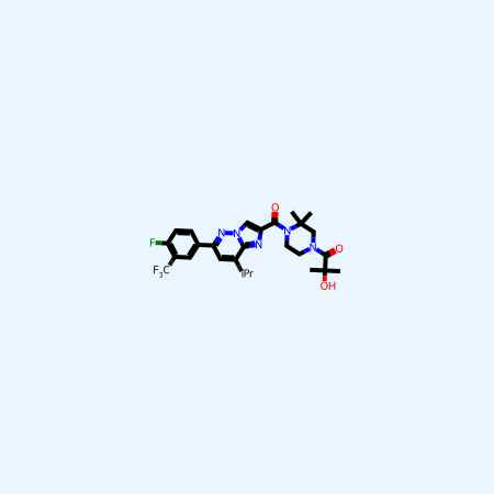 CC(C)c1cc(-c2ccc(F)c(C(F)(F)F)c2)nn2cc(C(=O)N3CCN(C(=O)C(C)(C)O)CC3(C)C)nc12